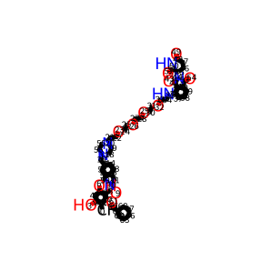 Cc1c(O)cc(O)c(C(=O)N2Cc3ccc(CN4CCN(CCOCCOCCOCCOCCNc5cccc6c5C(=O)N(C5CCC(=O)NC5=O)C6=O)CC4)cc3C2)c1OCC1CCCCC1